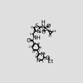 CCOc1cncc(-c2ccc(C(=O)NCc3csc(NS(=O)(=O)C4CC4)n3)cc2)n1